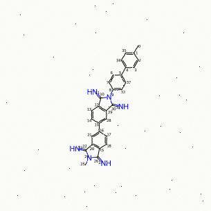 Cc1ccc(-c2ccc(N3C(=N)c4ccc(-c5ccc6c(c5)C(=N)N(C)C6=N)cc4C3=N)cc2)cc1